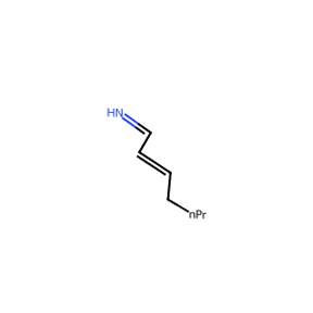 CCCCC=CC=N